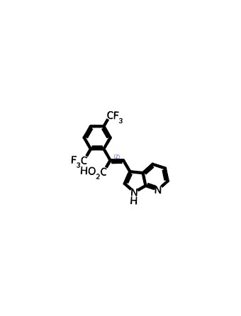 O=C(O)/C(=C\c1c[nH]c2ncccc12)c1cc(C(F)(F)F)ccc1C(F)(F)F